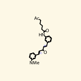 CNc1cccc(/C=C/C(=O)/C=C/c2cccc(NC(=O)CCCCC(C)=O)c2)c1